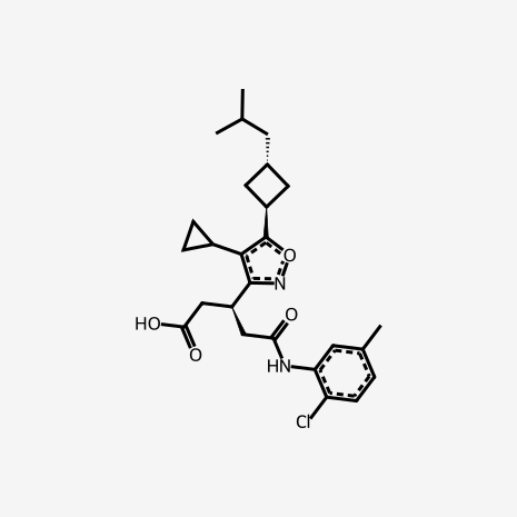 Cc1ccc(Cl)c(NC(=O)C[C@@H](CC(=O)O)c2noc([C@H]3C[C@H](CC(C)C)C3)c2C2CC2)c1